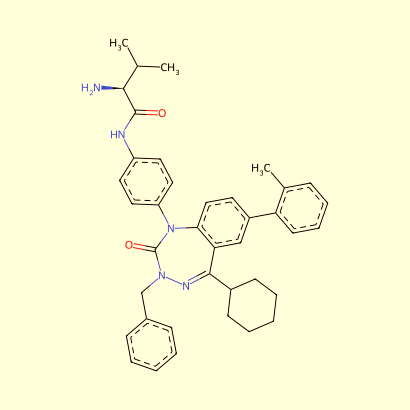 Cc1ccccc1-c1ccc2c(c1)C(C1CCCCC1)=NN(Cc1ccccc1)C(=O)N2c1ccc(NC(=O)[C@@H](N)C(C)C)cc1